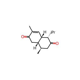 CC1=C[C@H]2[C@@H](CC1=O)[C@H](C)CC(=O)[C@H]2C(C)C